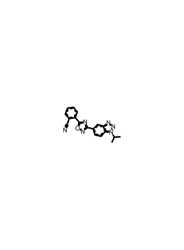 CC(C)n1nnc2cc(-c3noc(-c4ccccc4C#N)n3)ccc21